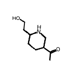 CC(=O)C1CCC(CCO)NC1